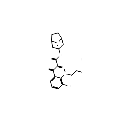 CCCn1nc(C(=O)NC2CC3CCC(C2)N3C)c(=O)c2cccc(Cl)c21.Cl